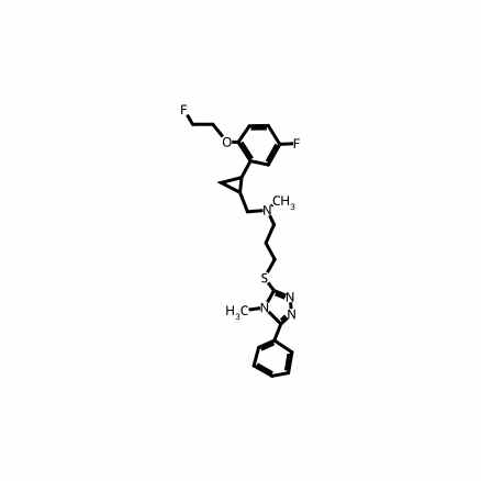 CN(CCCSc1nnc(-c2ccccc2)n1C)CC1CC1c1cc(F)ccc1OCCF